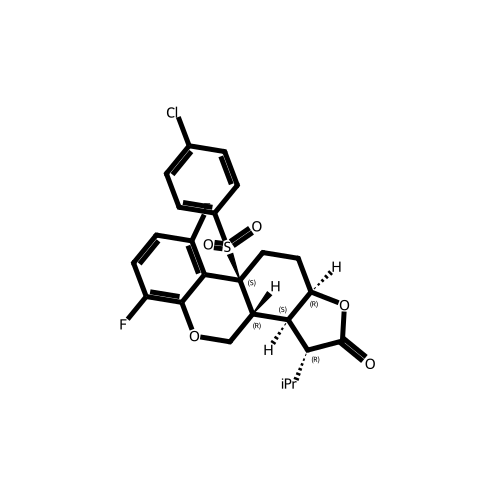 CC(C)[C@H]1C(=O)O[C@@H]2CC[C@@]3(S(=O)(=O)c4ccc(Cl)cc4)c4c(F)ccc(F)c4OC[C@H]3[C@H]12